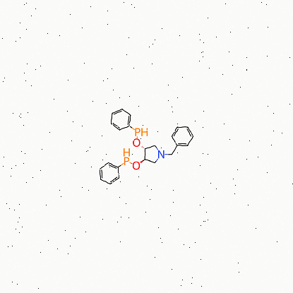 c1ccc(CN2C[C@@H](OPc3ccccc3)[C@H](OPc3ccccc3)C2)cc1